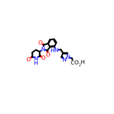 O=C(O)Cn1cc(CNc2cccc3c2C(=O)N(C2CCC(=O)NC2=O)C3=O)cn1